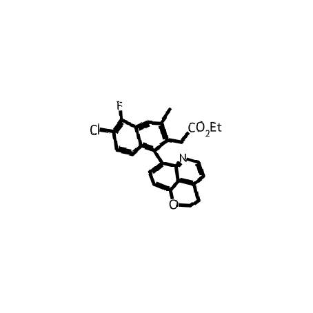 CCOC(=O)Cc1c(C)cc2c(F)c(Cl)ccc2c1-c1ccc2c3c(ccnc13)CCO2